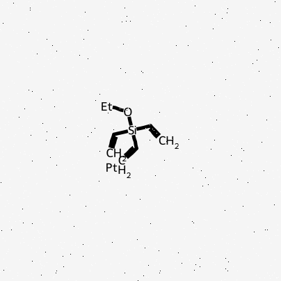 C=C[Si](C=C)(C=C)OCC.[Pt]